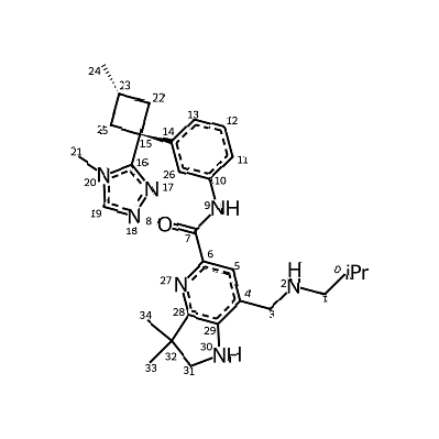 CC(C)CNCc1cc(C(=O)Nc2cccc([C@]3(c4nncn4C)C[C@@H](C)C3)c2)nc2c1NCC2(C)C